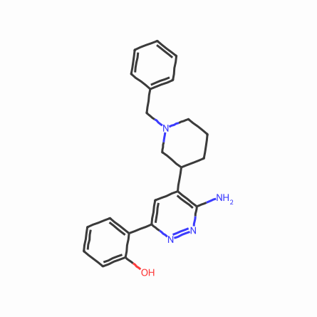 Nc1nnc(-c2ccccc2O)cc1C1CCCN(Cc2ccccc2)C1